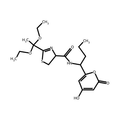 CCCC(NC(=O)C1CSC(C(C)(OCC)OCC)=N1)c1cc(O)cc(=O)o1